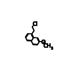 COc1ccc2cccc(CCCl)c2c1